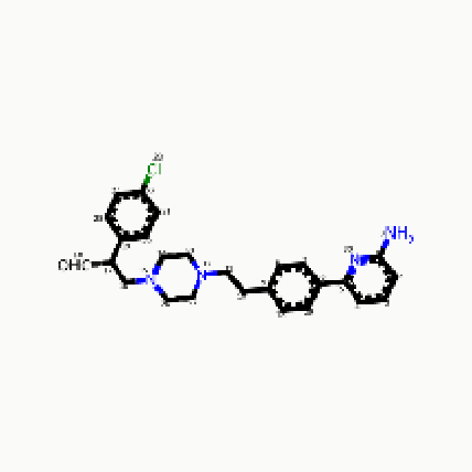 Nc1cccc(-c2ccc(CCN3CCN(CC(C=O)c4ccc(Cl)cc4)CC3)cc2)n1